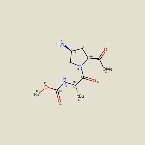 COC(=O)[C@@H]1C[C@H](N)CN1C(=O)[C@@H](NC(=O)OC(C)(C)C)C(C)(C)C